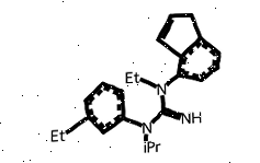 CCc1cccc(N(C(=N)N(CC)c2cccc3c2C=CC3)C(C)C)c1